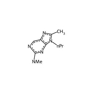 CCCn1c(C)nc2cnc(NC)nc21